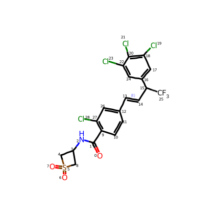 O=C(NC1CS(=O)(=O)C1)c1ccc(/C=C/C(c2cc(Cl)c(Cl)c(Cl)c2)C(F)(F)F)cc1Cl